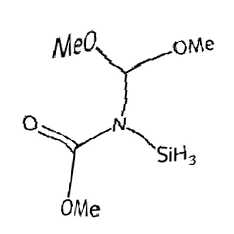 COC(=O)N([SiH3])C(OC)OC